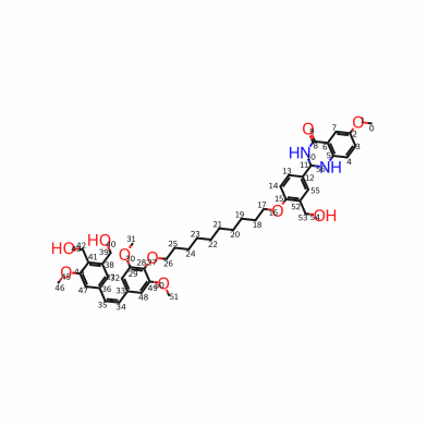 COc1ccc2c(c1)C(=O)NC(c1ccc(OCCCCCCCCCCOc3c(OC)cc(/C=C\c4cc(CO)c(CO)c(OC)c4)cc3OC)c(CO)c1)N2